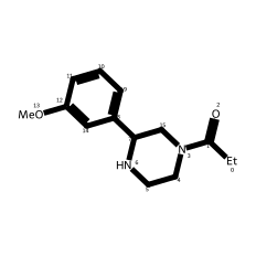 CCC(=O)N1CCNC(c2cccc(OC)c2)C1